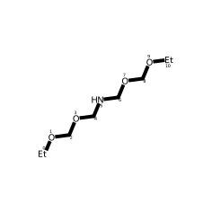 CCOCOCNCOCOCC